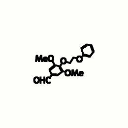 COc1cc(C=O)cc(OC)c1OCCOc1ccccc1